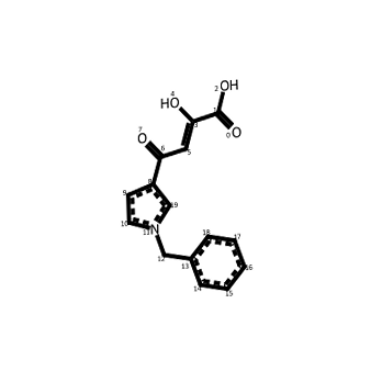 O=C(O)/C(O)=C/C(=O)c1ccn(Cc2ccccc2)c1